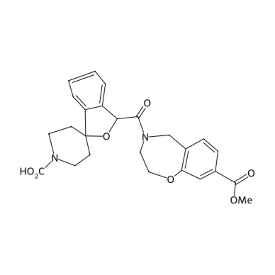 COC(=O)c1ccc2c(c1)OCCN(C(=O)C1OC3(CCN(C(=O)O)CC3)c3ccccc31)C2